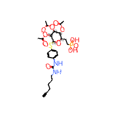 C#CCCCCNC(=O)Nc1ccc(S[C@@H]2O[C@H](CCP(=O)(O)O)[C@@H](OC(C)=O)[C@H](OC(C)=O)[C@@H]2OC(C)=O)cc1